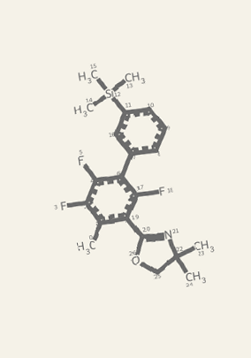 Cc1c(F)c(F)c(-c2cccc([Si](C)(C)C)c2)c(F)c1C1=NC(C)(C)CO1